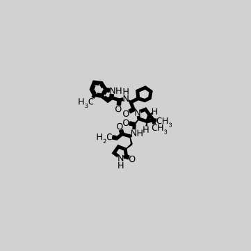 C=CC(=O)[C@H](C[C@@H]1CCNC1=O)NC(=O)[C@@H]1[C@@H]2[C@H](CN1C(=O)[C@@H](NC(=O)c1cc3c(C)cccc3[nH]1)C1CCCCC1)C2(C)C